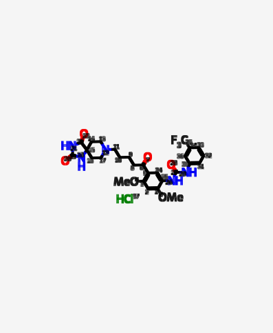 COc1cc(OC)c(C(=O)CCCCN2CCC3(CC2)NC(=O)NC3=O)cc1NC(=O)Nc1cccc(C(F)(F)F)c1.Cl